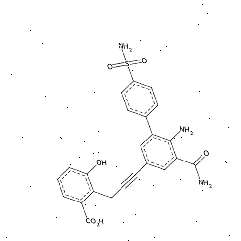 NC(=O)c1cc(C#CCc2c(O)cccc2C(=O)O)cc(-c2ccc(S(N)(=O)=O)cc2)c1N